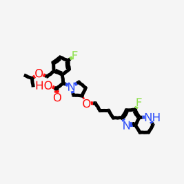 CC(C)OCc1ccc(F)cc1C(C(=O)O)N1CC[C@@H](OCCCCc2cc(F)c3c(n2)CCCN3)C1